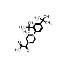 CC(C)(C)c1cc(C(C)(C)O)ccc1N1CCN(C(=O)C(=O)O)CC1